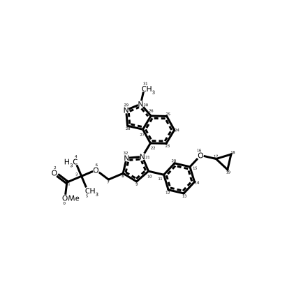 COC(=O)C(C)(C)OCc1cc(-c2cccc(OC3CC3)c2)n(-c2cccc3c2cnn3C)n1